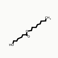 CCCCCCCCOC(=O)CCCCCO